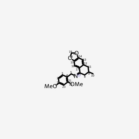 COc1ccc(C/N=C2/CC(C)Cc3cc4c(cc32)OCO4)c(OC)c1